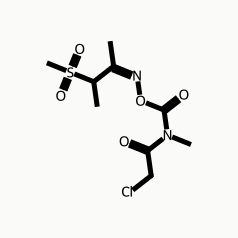 CC(=NOC(=O)N(C)C(=O)CCl)C(C)S(C)(=O)=O